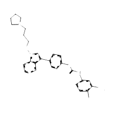 O=C(Nc1ccc(-c2cn(OCCCN3CCCC3)c3ccncc23)cc1)Nc1ccc(Cl)c(C(F)(F)F)c1